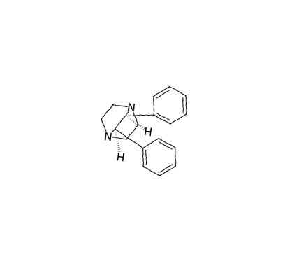 c1ccc([C@@H]2[C@H](c3ccccc3)N3CCN2CC3)cc1